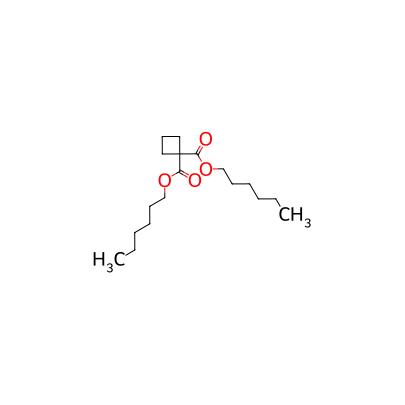 CCCCCCOC(=O)C1(C(=O)OCCCCCC)CCC1